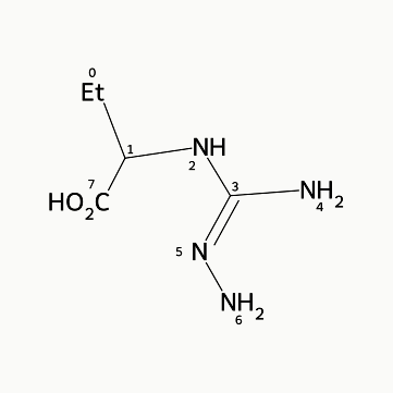 CCC(NC(N)=NN)C(=O)O